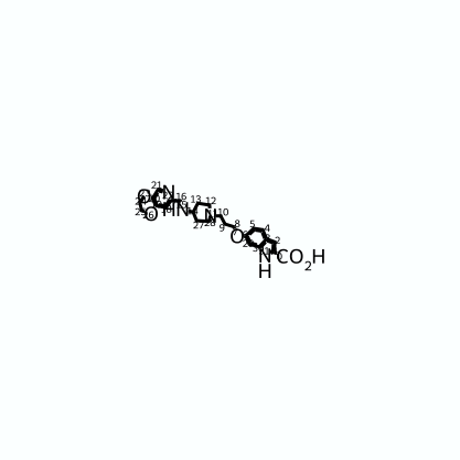 O=C(O)c1cc2ccc(OCCCN3CCC(NCc4cc5c(cn4)OCCO5)CC3)cc2[nH]1